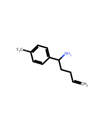 C=CCCC(N)c1ccc(C(F)(F)F)cc1